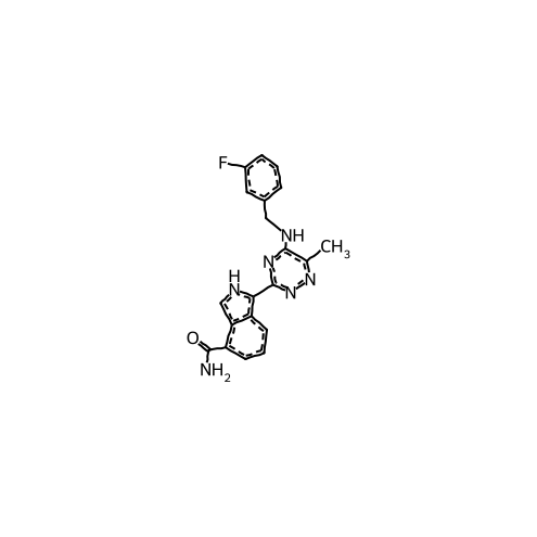 Cc1nnc(-c2[nH]cc3c(C(N)=O)cccc23)nc1NCc1cccc(F)c1